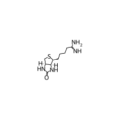 N=C(N)CCCC[C@@H]1SC[C@@H]2NC(=O)N[C@@H]21